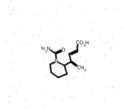 C=C(C=CC(=O)O)C1CCCCN1C(N)=O